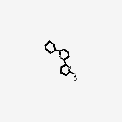 O=Nc1cccc(-c2cccc(-c3ccccc3)n2)n1